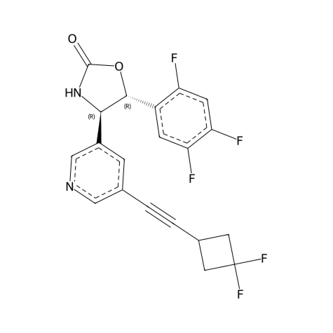 O=C1N[C@H](c2cncc(C#CC3CC(F)(F)C3)c2)[C@@H](c2cc(F)c(F)cc2F)O1